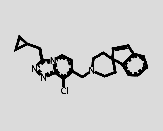 Clc1c(CN2CCC3(C=Cc4ccccc43)CC2)ccn2c(CC3CC3)nnc12